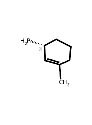 CC1=C[C@H](P)CCC1